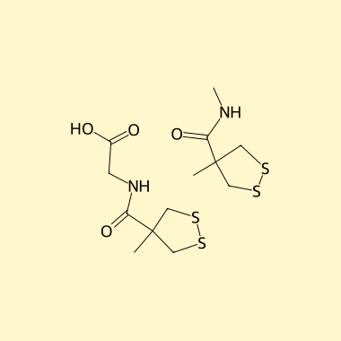 CC1(C(=O)NCC(=O)O)CSSC1.CNC(=O)C1(C)CSSC1